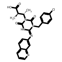 C[C@@H](C(=O)O)[C@H](C)n1c(=O)[nH]/c(=N\c2ccc3cccnc3c2)n(Cc2ccc(Cl)cc2)c1=O